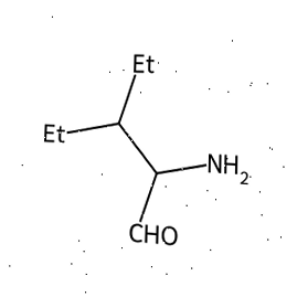 CCC(CC)C(N)C=O